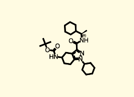 C[C@@H](NC(=O)c1nn(C2CCCCC2)c2c1CC(NC(=O)OC(C)(C)C)CC2)C1CCCCC1